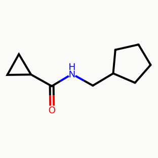 O=C(NCC1CCCC1)C1CC1